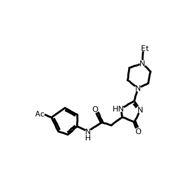 CCN1CCN(C2=NC(=O)C(CC(=O)Nc3ccc(C(C)=O)cc3)N2)CC1